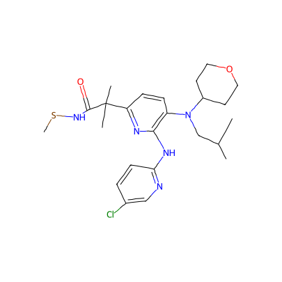 CSNC(=O)C(C)(C)c1ccc(N(CC(C)C)C2CCOCC2)c(Nc2ccc(Cl)cn2)n1